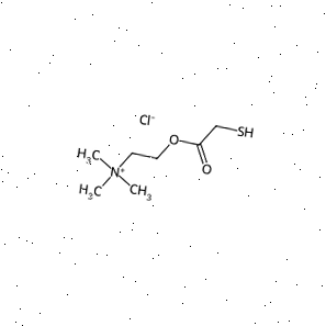 C[N+](C)(C)CCOC(=O)CS.[Cl-]